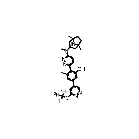 [2H]C([2H])([2H])Oc1cc(-c2cc(O)c(-c3ccc(N(C)C4C[C@]5(C)CC[C@](C)(C4)N5)nn3)c(F)c2)cnn1